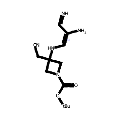 CC(C)(C)OC(=O)N1CC(CC#N)(N/C=C(/N)C=N)C1